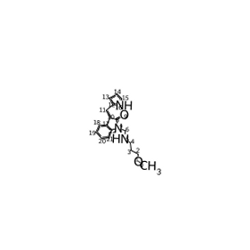 COCCCNCN1C(=O)C(=Cc2ccc[nH]2)c2ccccc21